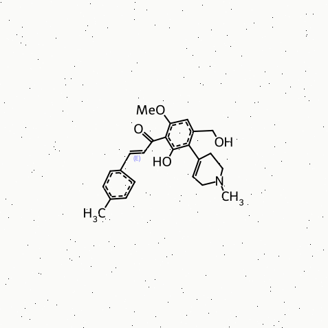 COc1cc(CO)c(C2=CCN(C)CC2)c(O)c1C(=O)/C=C/c1ccc(C)cc1